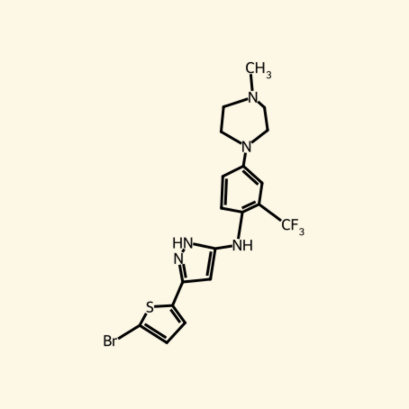 CN1CCN(c2ccc(Nc3cc(-c4ccc(Br)s4)n[nH]3)c(C(F)(F)F)c2)CC1